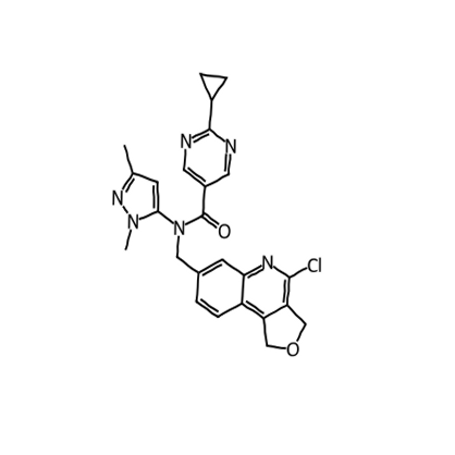 Cc1cc(N(Cc2ccc3c4c(c(Cl)nc3c2)COC4)C(=O)c2cnc(C3CC3)nc2)n(C)n1